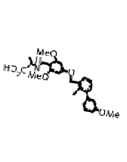 COc1cccc(-c2cccc(COc3cc(OC)c(CN[C@H](C)C(=O)O)c(OC)c3)c2C)c1